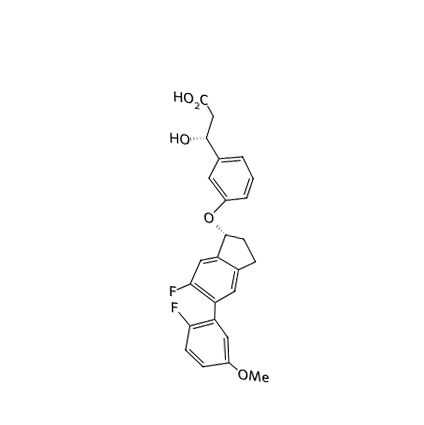 COc1ccc(F)c(-c2cc3c(cc2F)[C@H](Oc2cccc([C@H](O)CC(=O)O)c2)CC3)c1